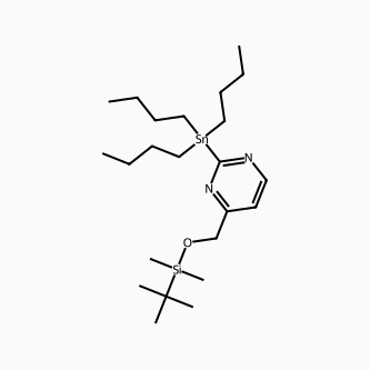 CCC[CH2][Sn]([CH2]CCC)([CH2]CCC)[c]1nccc(CO[Si](C)(C)C(C)(C)C)n1